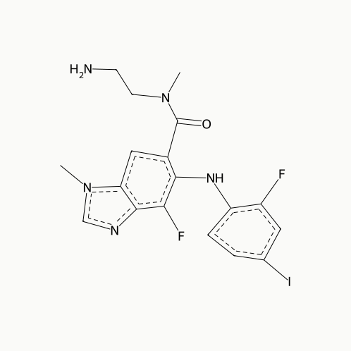 CN(CCN)C(=O)c1cc2c(ncn2C)c(F)c1Nc1ccc(I)cc1F